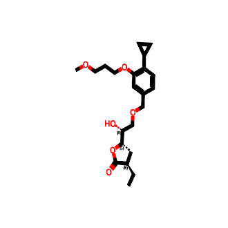 CC[C@@H]1C[C@@H]([C@H](O)COCc2ccc(C3CC3)c(OCCCOC)c2)OC1=O